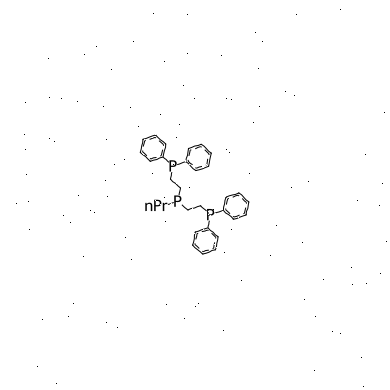 CCCP(CCP(c1ccccc1)c1ccccc1)CCP(c1ccccc1)c1ccccc1